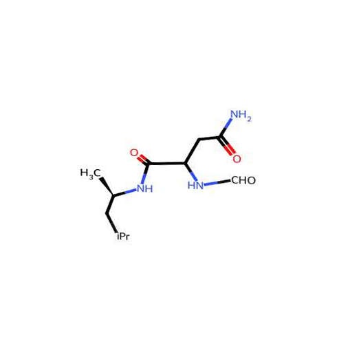 CC(C)C[C@@H](C)NC(=O)C(CC(N)=O)NC=O